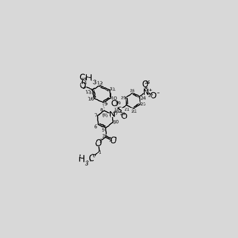 CCOC(=O)C1=CC[C@H](c2cccc(OC)c2)N(S(=O)(=O)c2ccc([N+](=O)[O-])cc2)C1